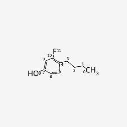 CCCCc1ccc(O)cc1F